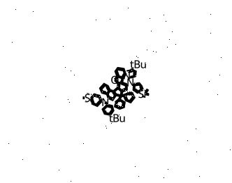 CC(C)(C)c1ccc(N(c2ccc([Si](C)(C)C)cc2)c2cc3c(c4ccccc24)-c2c(cc(N(c4ccc([Si](C)(C)C)cc4)c4ccc(C(C)(C)C)cn4)c4c2oc2ccccc24)C3(c2ccccc2)c2ccccc2)cc1